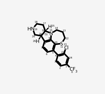 FC(F)(F)c1ccc(-c2ccc3c4c2SCCCN4[C@H]2CCNC[C@@H]32)c(Cl)c1